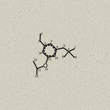 CCc1cc(CC(C)(C)C)cc(OC(C)C)c1